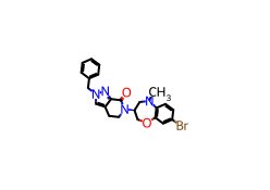 CN1C[C@H](N2CCc3cn(Cc4ccccc4)nc3C2=O)COc2cc(Br)ccc21